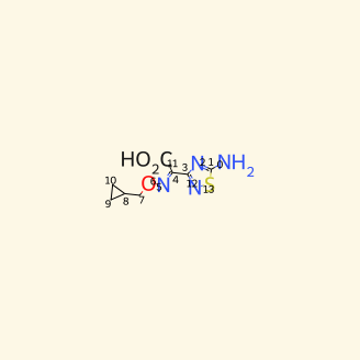 Nc1nc(/C(=N/OCC2CC2)C(=O)O)ns1